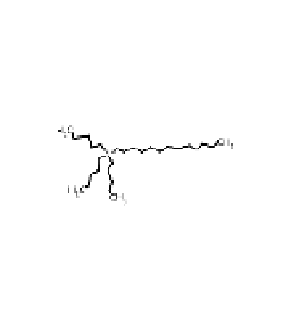 CCCCCCCCCCCCC[N+](CCCCC)(CCCCC)CCCCC